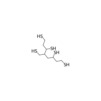 SCCC(S)CC(CS)C(S)CCS